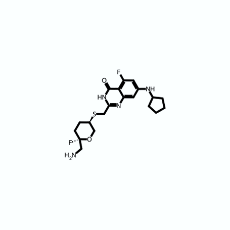 NC[C@@]1(F)CC[C@@H](SCc2nc3cc(NC4CCCC4)cc(F)c3c(=O)[nH]2)CO1